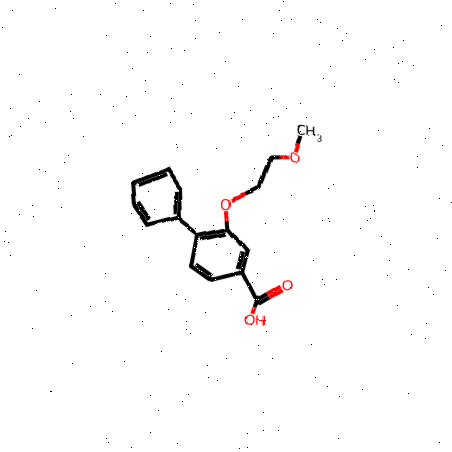 COCCOc1cc(C(=O)O)ccc1-c1ccccc1